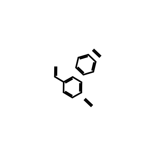 C=C.C=C.C=Cc1ccccc1.c1ccccc1